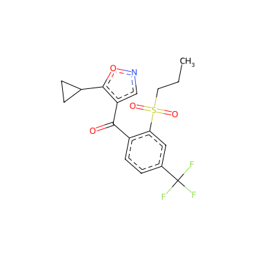 CCCS(=O)(=O)c1cc(C(F)(F)F)ccc1C(=O)c1cnoc1C1CC1